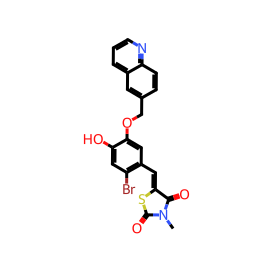 CN1C(=O)S/C(=C\c2cc(OCc3ccc4ncccc4c3)c(O)cc2Br)C1=O